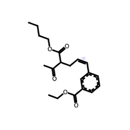 CCCCOC(=O)C(C/C=C\c1cccc(C(=O)OCC)c1)C(C)=O